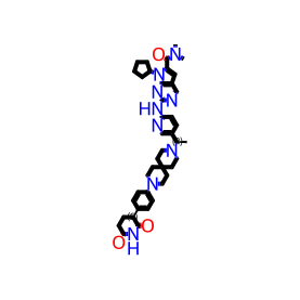 C[C@H](c1ccc(Nc2ncc3cc(C(=O)N(C)C)n(C4CCCC4)c3n2)nc1)N1CCC2(CCN(c3ccc([C@@H]4CCC(=O)NC4=O)cc3)CC2)CC1